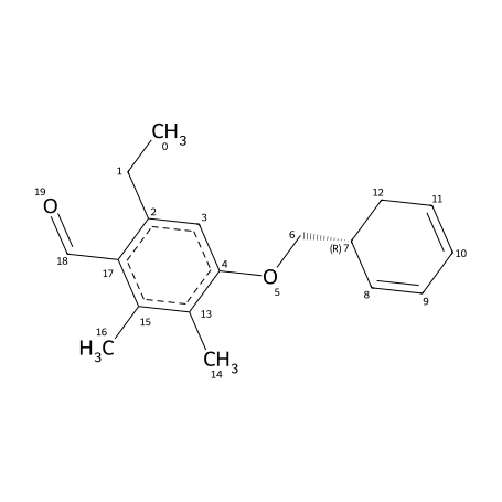 CCc1cc(OC[C@H]2C=CC=CC2)c(C)c(C)c1C=O